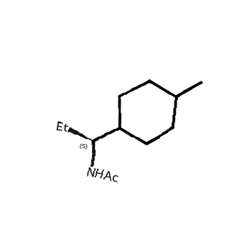 CC[C@H](NC(C)=O)C1CCC(C)CC1